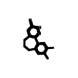 Cc1cc2c(cc1C)-c1n[nH]c(=O)cc1CCC2